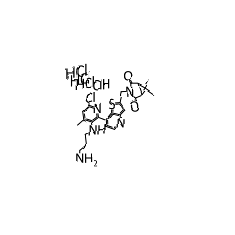 Cc1cc(Cl)nc(-c2ccnc3cc(CN4C(=O)C5C(C4=O)C5(C)C)sc23)c1NCCCN.Cl.Cl.Cl.Cl